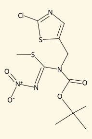 CS/C(=N\[N+](=O)[O-])N(Cc1cnc(Cl)s1)C(=O)OC(C)(C)C